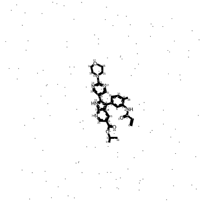 C=CC(=O)Nc1cc(-c2c(-c3cnc(N4CCOCC4)nc3)[nH]c3ncc(C(=O)OC(C)C)cc23)ccc1C